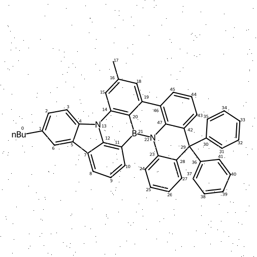 CCCCc1ccc2c(c1)c1cccc3c1n2-c1cc(C)cc2c1B3N1c3ccccc3C(c3ccccc3)(c3ccccc3)c3cccc-2c31